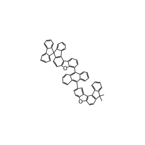 CC1(C)c2ccccc2-c2c1ccc1oc3ccc(-c4c5ccccc5c(-c5cccc6c5oc5ccc7c(c56)-c5ccccc5C75c6ccccc6-c6ccccc65)c5ccccc45)cc3c21